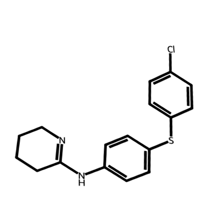 Clc1ccc(Sc2ccc(NC3=NCCCC3)cc2)cc1